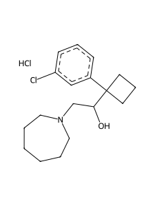 Cl.OC(CN1CCCCCC1)C1(c2cccc(Cl)c2)CCC1